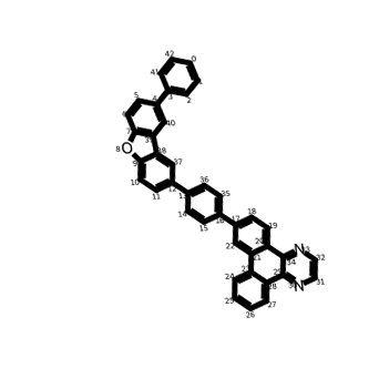 c1ccc(-c2ccc3oc4ccc(-c5ccc(-c6ccc7c(c6)c6ccccc6c6nccnc76)cc5)cc4c3c2)cc1